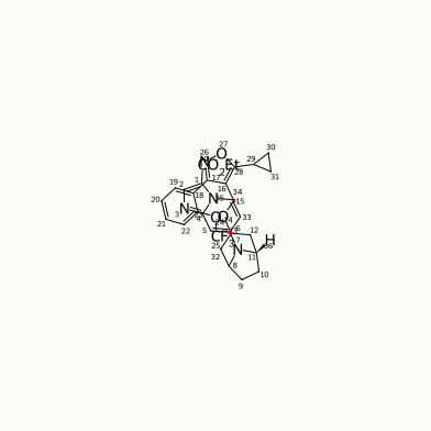 CCOC(=O)c1cnc2cc(N3C4CC[C@H]3CC(OCc3c(-c5ccccc5OC(F)(F)F)noc3C3CC3)C4)ccn12